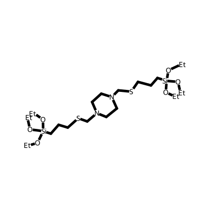 CCO[Si](CCCSCN1CCN(CSCCC[Si](OCC)(OCC)OCC)CC1)(OCC)OCC